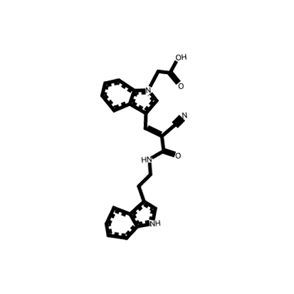 N#C/C(=C\c1cn(CC(=O)O)c2ccccc12)C(=O)NCCc1c[nH]c2ccccc12